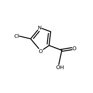 O=C(O)c1cnc(Cl)o1